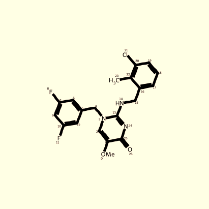 COc1cn(Cc2cc(F)cc(F)c2)c(NCc2cccc(Cl)c2C)nc1=O